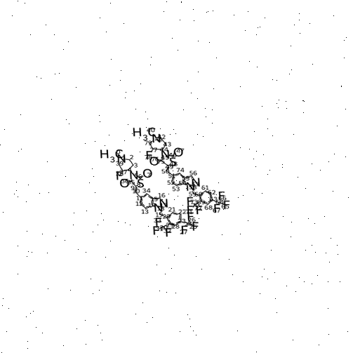 CN1CC[C@@H](N2C(=O)SC(=Cc3ccc4c(cnn4Cc4ccc(C(F)(F)F)cc4C(F)(F)F)c3)C2=O)[C@H](F)C1.CN1CC[C@@H](N2C(=O)SC(=Cc3ccc4c(cnn4Cc4ccc(C(F)(F)F)cc4C(F)(F)F)c3)C2=O)[C@H](F)C1